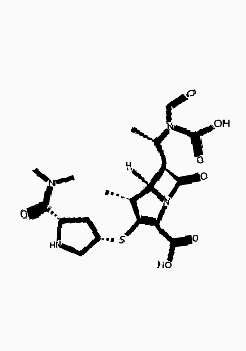 C[C@H]([C@H]1C(=O)N2C(C(=O)O)=C(S[C@@H]3CN[C@H](C(=O)N(C)C)C3)[C@H](C)[C@H]12)N(C=O)C(=O)O